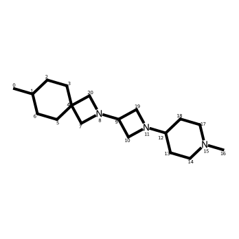 CC1CCC2(CC1)CN(C1CN(C3CCN(C)CC3)C1)C2